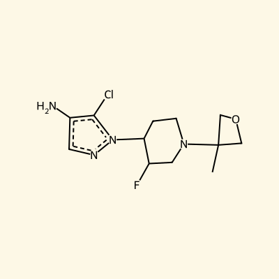 CC1(N2CCC(n3ncc(N)c3Cl)C(F)C2)COC1